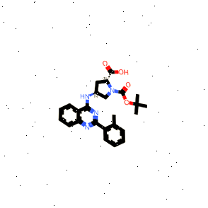 Cc1ccccc1-c1nc(N[C@H]2C[C@H](C(=O)O)N(C(=O)OC(C)(C)C)C2)c2ccccc2n1